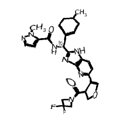 CC1CCC([C@H](NC(=O)c2ccnn2C)c2nc3nc(C4COCC4C(=O)N4CC(F)(F)C4)ccc3[nH]2)CC1